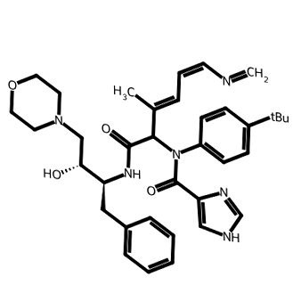 C=N/C=C\C=C(/C)C(C(=O)N[C@@H](Cc1ccccc1)[C@H](O)CN1CCOCC1)N(C(=O)c1c[nH]cn1)c1ccc(C(C)(C)C)cc1